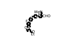 C=C(C)C(CCC(=O)CC)N1Cc2cc(N3CCN(CC4CCN(c5ccc(C=O)c(CNC)n5)CC4)CC3)c(F)cc2C1=O